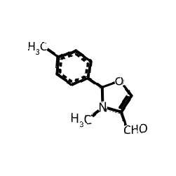 Cc1ccc(C2OC=C(C=O)N2C)cc1